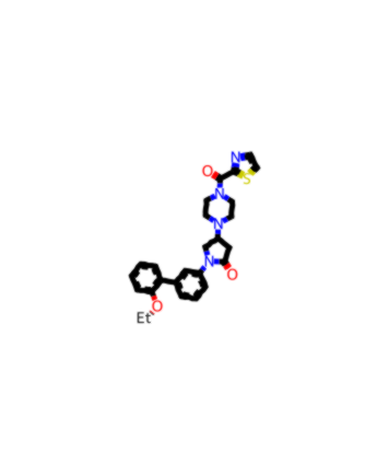 CCOc1ccccc1-c1cccc(N2CC(N3CCN(C(=O)c4nccs4)CC3)CC2=O)c1